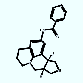 O=C(Nc1cc2c3c(c1)[C@@H]1CNC[C@@H]1CN3CCC2)c1ccccc1